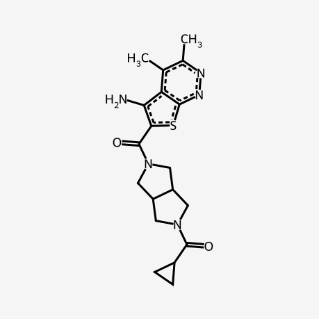 Cc1nnc2sc(C(=O)N3CC4CN(C(=O)C5CC5)CC4C3)c(N)c2c1C